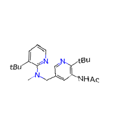 CC(=O)Nc1cc(CN(C)c2ncccc2C(C)(C)C)cnc1C(C)(C)C